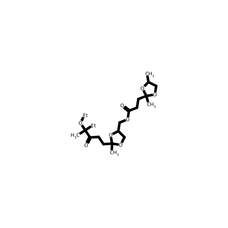 CCOC(C)(CC)C(=O)CCC1(C)OCC(COC(=O)CCC2(C)OCC(C)O2)O1